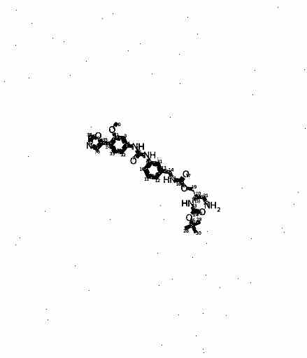 COc1cc(NC(=O)Nc2cccc(CNC(=O)OC[C@H](CN)NC(=O)OC(C)(C)C)c2)ccc1-c1cnco1